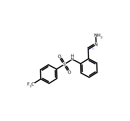 N/N=C/c1ccccc1NS(=O)(=O)c1ccc(C(F)(F)F)cc1